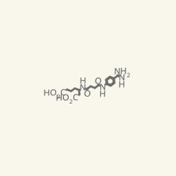 N=C(N)c1ccc(NC(=O)CCC(=O)NC(CCCC(=O)O)CC(=O)O)cc1